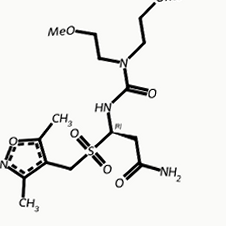 COCCN(CCOC)C(=O)N[C@@H](CC(N)=O)S(=O)(=O)Cc1c(C)noc1C